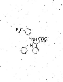 O=C([O-])Cc1c(NCc2cccc(C(F)(F)F)c2)n(Cc2ccccc2)c2ccccc12.[Na+]